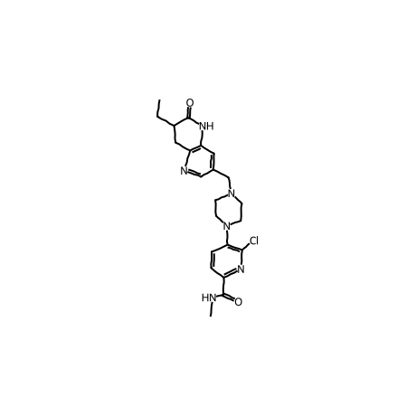 CCC1Cc2ncc(CN3CCN(c4ccc(C(=O)NC)nc4Cl)CC3)cc2NC1=O